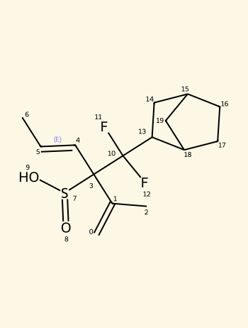 C=C(C)C(/C=C/C)(S(=O)O)C(F)(F)C1CC2CCC1C2